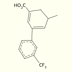 CC1C=C(c2cccc(C(F)(F)F)c2)C=C(C(=O)O)C1